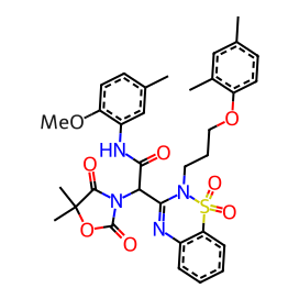 COc1ccc(C)cc1NC(=O)C(C1=Nc2ccccc2S(=O)(=O)N1CCCOc1ccc(C)cc1C)N1C(=O)OC(C)(C)C1=O